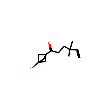 C=CC(C)(C)CCC(=O)C12CC(Cl)(C1)C2